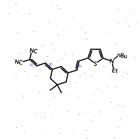 [C-]#[N+]/C(C#N)=C\C=C1C=C(/C=C/c2ccc(N(CC)CCCC)s2)CC(C)(C)C\1